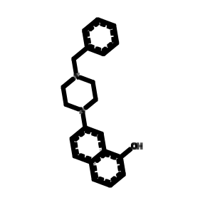 Oc1cccc2ccc(N3CCN(Cc4ccccc4)CC3)cc12